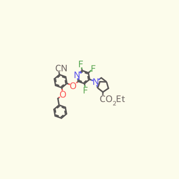 CCOC(=O)C1CC2CC1N(c1c(F)c(F)nc(Oc3cc(C#N)ccc3OCc3ccccc3)c1F)C2